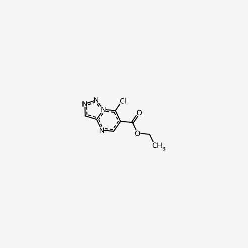 CCOC(=O)c1cnc2cnnn2c1Cl